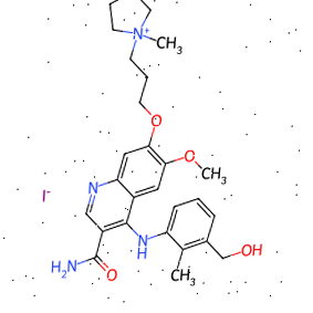 COc1cc2c(Nc3cccc(CO)c3C)c(C(N)=O)cnc2cc1OCCC[N+]1(C)CCCC1.[I-]